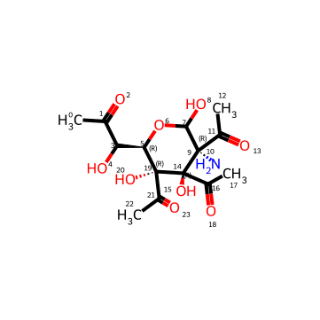 CC(=O)C(O)[C@H]1OC(O)[C@@](N)(C(C)=O)[C@](O)(C(C)=O)[C@@]1(O)C(C)=O